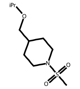 CC(C)OCC1CCN(S(C)(=O)=O)CC1